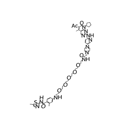 CC(=O)c1c(C)c2cnc(Nc3ccc(N4CCN(CC(=O)NCCOCCOCCOCCOCCOCCNc5ccc(C(=O)Nc6ncc(C)s6)c(C)c5)CC4)cn3)nc2n(C2CCCC2)c1=O